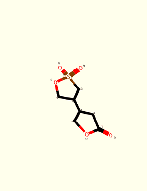 O=C1CC(C2COS(=O)(=O)C2)CO1